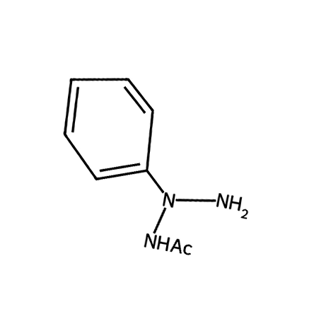 CC(=O)NN(N)c1ccccc1